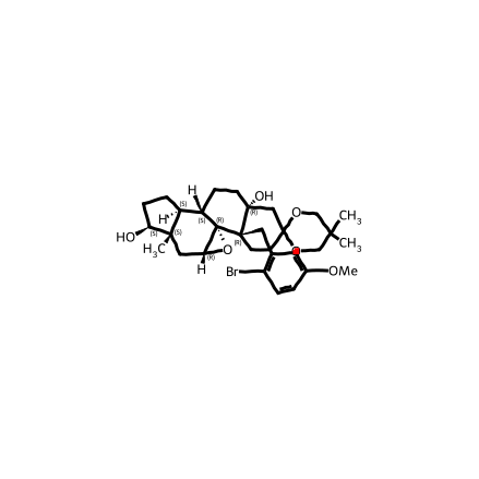 COc1ccc(Br)c(C[C@]23CCC4(C[C@]2(O)CC[C@H]2[C@@H]5CC[C@H](O)[C@@]5(C)C[C@H]5O[C@]523)OCC(C)(C)CO4)c1